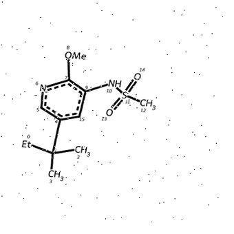 CCC(C)(C)c1cnc(OC)c(NS(C)(=O)=O)c1